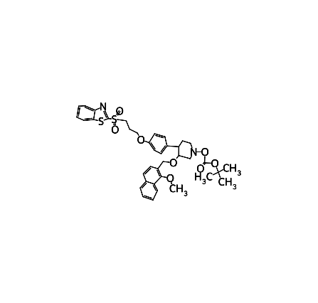 COc1c(COC2CN(OC(=O)OC(C)(C)C)CCC2c2ccc(OCCCS(=O)(=O)c3nc4ccccc4s3)cc2)ccc2ccccc12